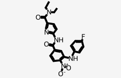 CCN(CC)C(=O)c1ccc(NC(=O)c2ccc([N+](=O)[O-])c(Nc3ccc(F)cc3)c2)nc1